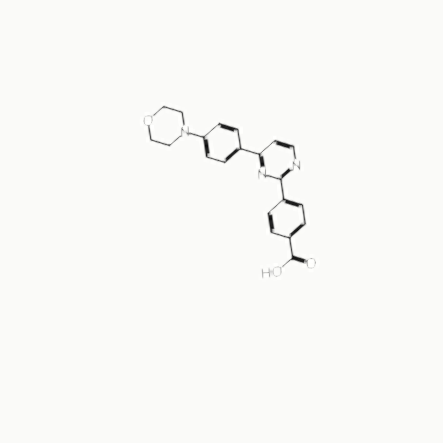 O=C(O)c1ccc(-c2nccc(-c3ccc(N4CCOCC4)cc3)n2)cc1